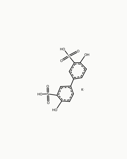 O=S(=O)(O)c1cc(-c2ccc(O)c(S(=O)(=O)O)c2)ccc1O.[K]